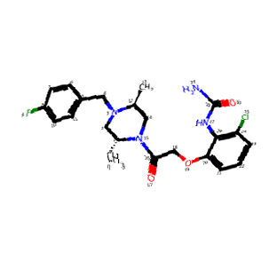 C[C@@H]1CN(Cc2ccc(F)cc2)[C@@H](C)CN1C(=O)COc1cccc(Cl)c1NC(N)=O